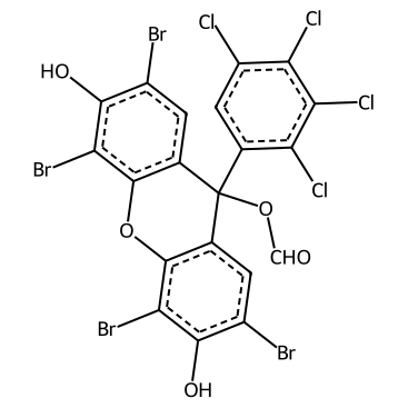 O=COC1(c2cc(Cl)c(Cl)c(Cl)c2Cl)c2cc(Br)c(O)c(Br)c2Oc2c1cc(Br)c(O)c2Br